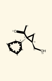 CC(=O)[C@@]1(c2ccccc2)C[C@H]1CO